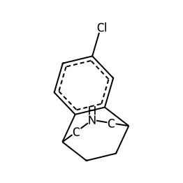 Clc1ccc2c(c1)C1CCC2CNC1